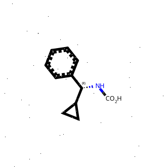 O=C(O)N[C@@H](c1ccccc1)C1CC1